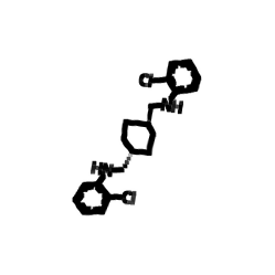 Clc1ccccc1NC[C@H]1CC[C@H](CNc2ccccc2Cl)CC1